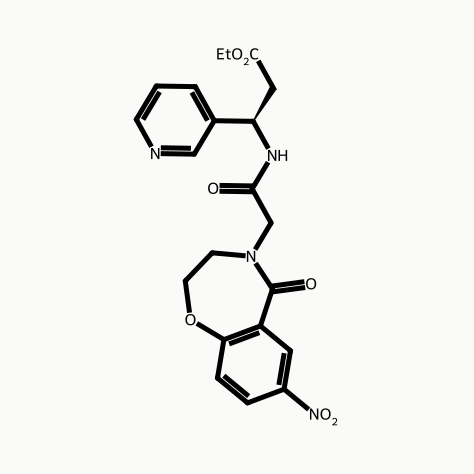 CCOC(=O)C[C@@H](NC(=O)CN1CCOc2ccc([N+](=O)[O-])cc2C1=O)c1cccnc1